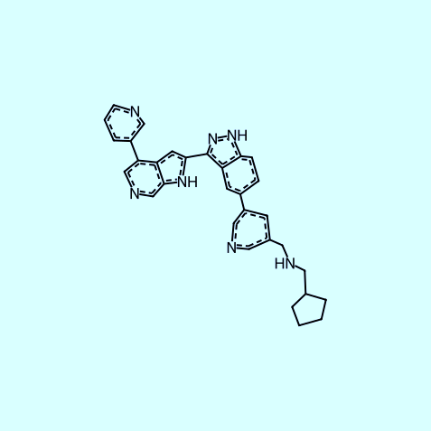 c1cncc(-c2cncc3[nH]c(-c4n[nH]c5ccc(-c6cncc(CNCC7CCCC7)c6)cc45)cc23)c1